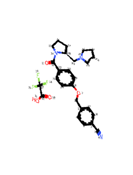 N#Cc1ccc(COc2ccc(C(=O)N3CCC[C@H]3CN3CCCC3)cc2)cc1.O=C(O)C(F)(F)F